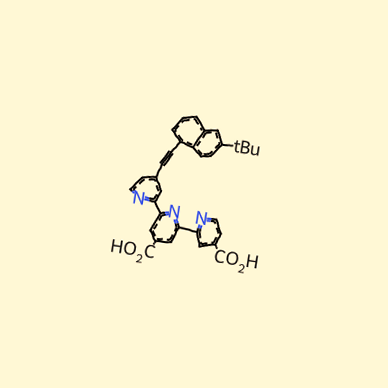 CC(C)(C)c1ccc2c(C#Cc3ccnc(-c4cc(C(=O)O)cc(-c5cc(C(=O)O)ccn5)n4)c3)cccc2c1